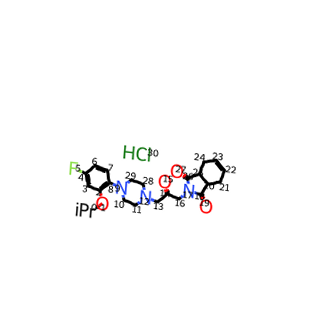 CC(C)Oc1cc(F)ccc1N1CCN(CC(=O)CN2C(=O)C3CC=CCC3C2=O)CC1.Cl